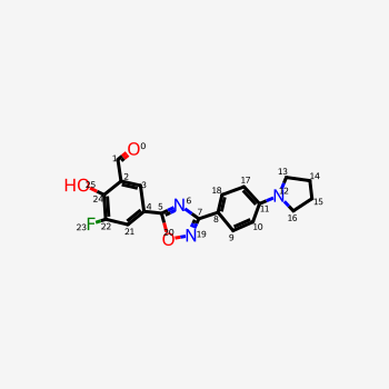 O=Cc1cc(-c2nc(-c3ccc(N4CCCC4)cc3)no2)cc(F)c1O